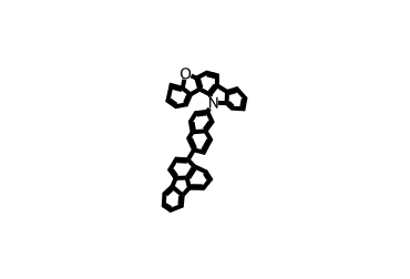 c1ccc2c(c1)-c1cccc3c(-c4ccc5cc(-n6c7ccccc7c7ccc8oc9ccccc9c8c76)ccc5c4)ccc-2c13